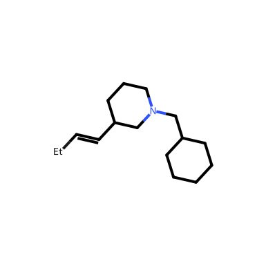 CC/C=C/C1CCCN(CC2CCCCC2)C1